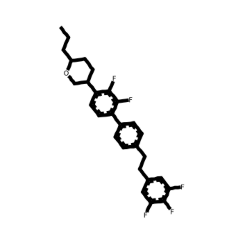 CCCC1CCC(c2ccc(-c3ccc(CCc4cc(F)c(F)c(F)c4)cc3)c(F)c2F)CO1